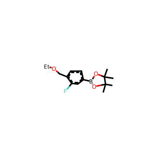 CCOCc1ccc(B2OC(C)(C)C(C)(C)O2)cc1F